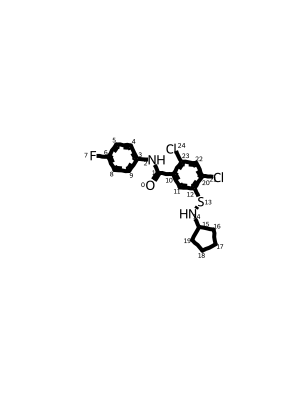 O=C(Nc1ccc(F)cc1)c1cc(SNC2CCCC2)c(Cl)cc1Cl